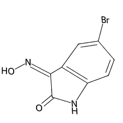 O=C1Nc2ccc(Br)cc2C1=NO